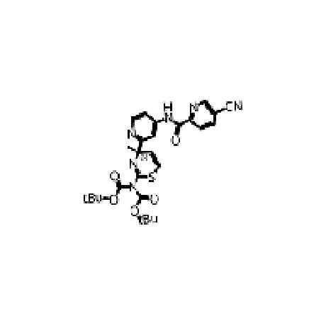 CC(C)(C)OC(=O)N(C(=O)OC(C)(C)C)C1=N[C@](C)(c2cc(NC(=O)c3ccc(C#N)cn3)ccn2)C=CS1